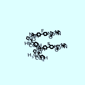 CN(C(=O)O)[C@H](C(=O)N1CCC[C@H]1c1ncc(-c2ccc(-c3ccc(N4C[C@H](Cn5ccnn5)OC4=O)cc3F)cc2)[nH]1)c1ccccc1.O=C(O)N[C@H](C(=O)N1CCC[C@H]1c1ncc(-c2ccc(-c3ccc(N4C[C@H](Cn5ccnn5)OC4=O)cc3F)cc2)[nH]1)c1ccccc1